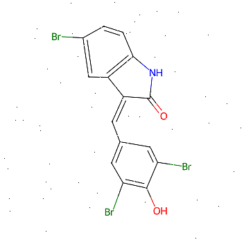 O=C1Nc2ccc(Br)cc2C1=Cc1cc(Br)c(O)c(Br)c1